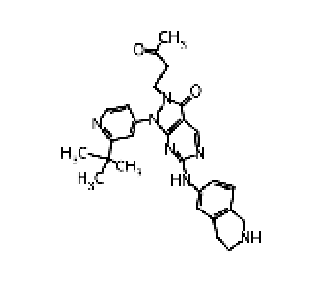 CC(=O)CCn1c(=O)c2cnc(Nc3ccc4c(c3)CCNC4)nc2n1-c1ccnc(C(C)(C)C)c1